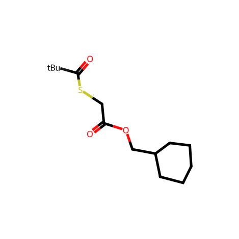 CC(C)(C)C(=O)SCC(=O)OCC1CCCCC1